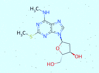 CNc1nc(SC)nc2c1ncn2[C@H]1C[C@@H](O)[C@H](CO)O1